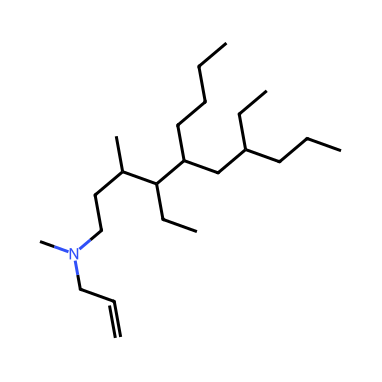 C=CCN(C)CCC(C)C(CC)C(CCCC)CC(CC)CCC